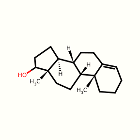 C[C@]12CCCC=C1CC[C@@H]1[C@H]2CC[C@]2(C)C(O)CC[C@@H]12